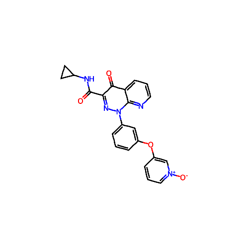 O=C(NC1CC1)c1nn(-c2cccc(Oc3ccc[n+]([O-])c3)c2)c2ncccc2c1=O